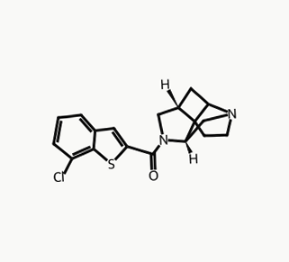 O=C(c1cc2cccc(Cl)c2s1)N1C[C@@H]2CC3N4CCC32[C@@H]1C4